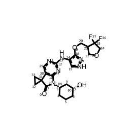 O=C1N([C@@H]2CCC[C@@H](O)C2)c2nc(Nc3c[nH]nc3OCC3COCC3(F)F)ncc2C12CC2